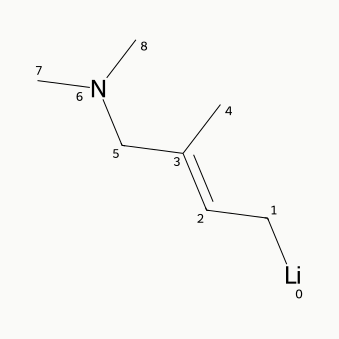 [Li][CH2]/C=C(\C)CN(C)C